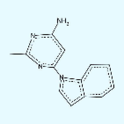 Cc1nc(N)cc(-n2ccc3ccccc32)n1